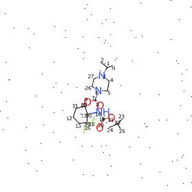 CC(C)N1CCN(C(=O)O[C@H]2CCCC(F)(F)[C@@H]2NC(=O)OC(C)(C)C)CC1